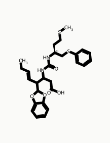 CCC=CC(C(CC(=O)O)NC(=O)N[C@@H](CCSC)CSc1ccccc1)C1Oc2ccccc2O1